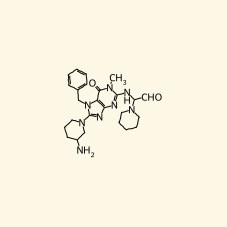 Cn1c(NC(C=O)N2CCCCC2)nc2nc(N3CCCC(N)C3)n(Cc3ccccc3)c2c1=O